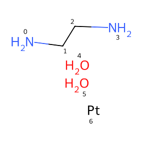 NCCN.O.O.[Pt]